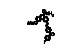 COC1CCC(CC(C(N)=O)C2CCC(CCN3CCC(C(=O)c4ccc(F)cc4)CC3)CC2)CC1